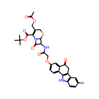 CC(=O)OCC1=C(C(=O)OC(C)(C)C)N2C(=O)C(NC(=O)COc3ccc4c(c3)C(=O)Cc3c-4[nH]c4ccc(F)cc34)C2SC1